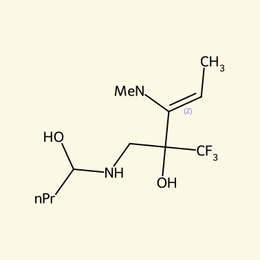 C/C=C(\NC)C(O)(CNC(O)CCC)C(F)(F)F